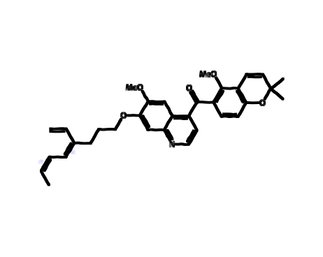 C=C/C(=C\C=C/C)CCCOc1cc2nccc(C(=O)c3ccc4c(c3OC)C=CC(C)(C)O4)c2cc1OC